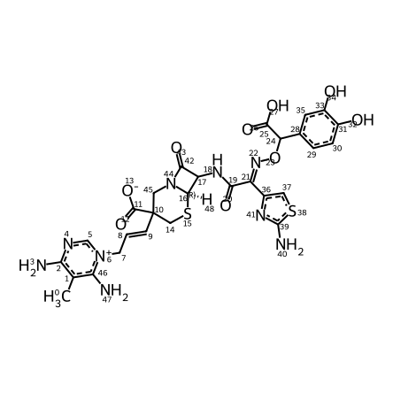 Cc1c(N)nc[n+](CC=CC2(C(=O)[O-])CS[C@@H]3C(NC(=O)C(=NOC(C(=O)O)c4ccc(O)c(O)c4)c4csc(N)n4)C(=O)N3C2)c1N